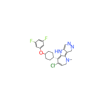 CN1CC=C(Cl)C([C@H]2CC[C@H](Oc3cc(F)cc(F)c3)CC2)=c2[nH]c3c(c21)CN=NC=3